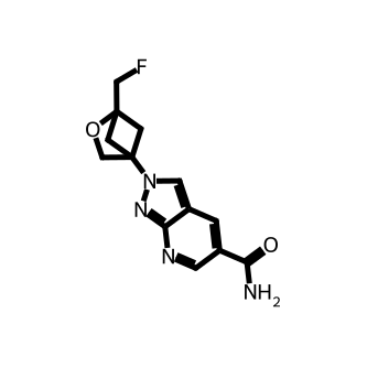 NC(=O)c1cnc2nn(C34COC(CF)(C3)C4)cc2c1